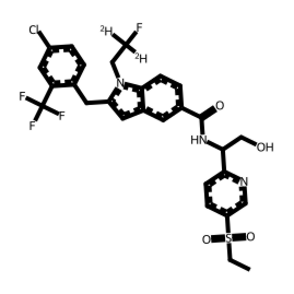 [2H]C([2H])(F)Cn1c(Cc2ccc(Cl)cc2C(F)(F)F)cc2cc(C(=O)NC(CO)c3ccc(S(=O)(=O)CC)cn3)ccc21